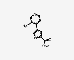 COC(=O)c1cc(-c2ccncc2C)c[nH]1